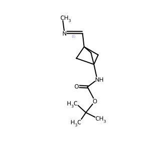 C/N=C/C12CC(NC(=O)OC(C)(C)C)(C1)C2